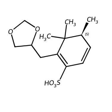 C[C@H]1C=CC(S(=O)(=O)O)=C(CC2COCO2)C1(C)C